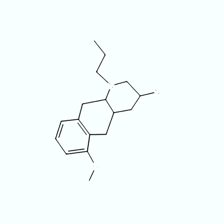 CCCN1CC(N)CC2Cc3c(cccc3OC)CC21